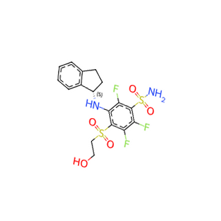 NS(=O)(=O)c1c(F)c(F)c(S(=O)(=O)CCO)c(N[C@H]2CCc3ccccc32)c1F